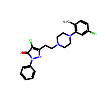 COc1ccc(Cl)cc1N1CCN(CCc2[nH]n(-c3ccccc3)c(=O)c2Cl)CC1